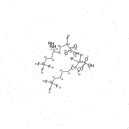 N.N.O=S(=O)(O)C(F)(F)C(F)CCCCCC(F)(F)F.O=S(=O)(O)C(F)CCCCCC(F)(F)F